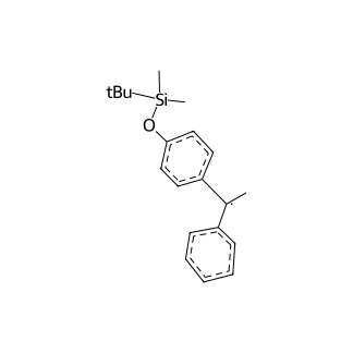 C[C](c1ccccc1)c1ccc(O[Si](C)(C)C(C)(C)C)cc1